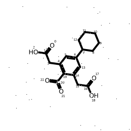 O=C(O)Cc1cc(C2CCCCC2)cc(CC(=O)O)c1I(=O)=O